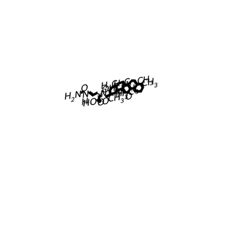 CC1(C(=O)N(O)[C@@H](CCCNC(N)=O)C(=O)O)CC[C@]2(C)CC[C@]3(C)C(=CC(=O)C4[C@@]5(C)CCCC(C)(C)C5CC[C@]43C)[C@@H]2C1